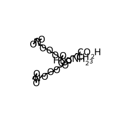 CC(CC(N)Cc1ccc(OC(=O)CCOCCOCCOCCN2C(=O)C=CC2=O)c(NC(=O)CCOCCOCCOCCN2C(=O)C=CC2=O)c1)C(=O)O